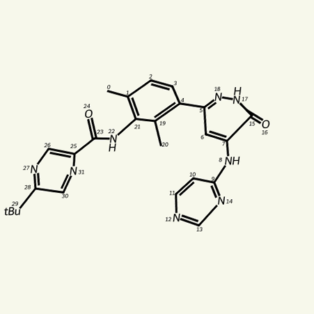 Cc1ccc(-c2cc(Nc3ccncn3)c(=O)[nH]n2)c(C)c1NC(=O)c1cnc(C(C)(C)C)cn1